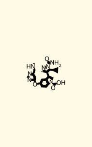 CNCc1cc(Oc2ccc3c(c2)c(-c2[c]nn(C(N)=O)c2C2CC2)cn3C(=O)O)ncn1